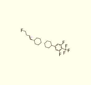 FCC/C=C/[C@H]1CC[C@H](C2CCC(c3cc(F)c(C(F)(F)F)c(F)c3)CC2)CC1